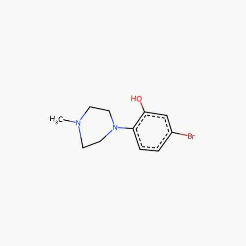 CN1CCN(c2ccc(Br)cc2O)CC1